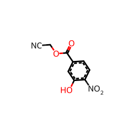 N#CCOC(=O)c1ccc([N+](=O)[O-])c(O)c1